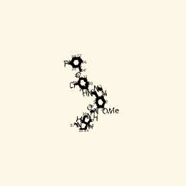 COc1cc2ncnc(Nc3ccc(OCc4cccc(F)c4)c(Cl)c3)c2cc1NC(=O)N1C[C@H]2CCN(C)[C@H]2C1